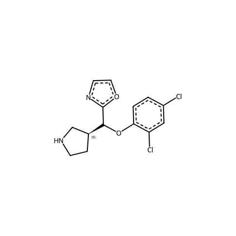 Clc1ccc(OC(c2ncco2)[C@H]2CCNC2)c(Cl)c1